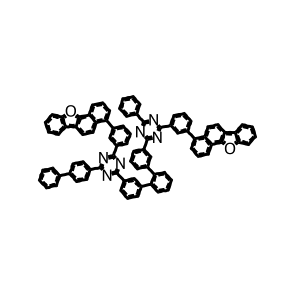 c1ccc(-c2ccc(-c3nc(-c4cccc(-c5ccccc5-c5cccc(-c6nc(-c7ccccc7)nc(-c7cccc(-c8cccc9c8ccc8c%10ccccc%10oc98)c7)n6)c5)c4)nc(-c4cccc(-c5cccc6c5ccc5c7ccccc7oc65)c4)n3)cc2)cc1